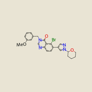 COc1cccc(Cn2cnc3ccc(-c4cnn(C5CCCCO5)c4)c(Br)c3c2=O)c1